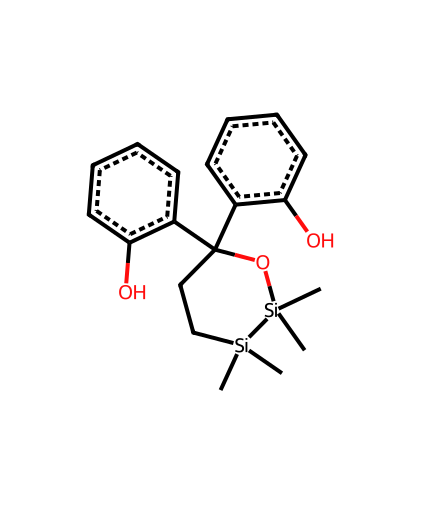 C[Si]1(C)CCC(c2ccccc2O)(c2ccccc2O)O[Si]1(C)C